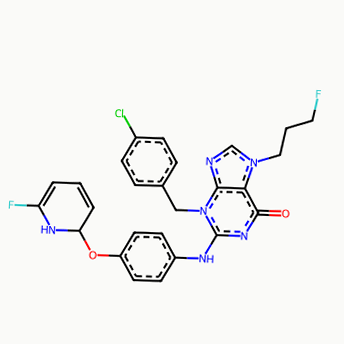 O=c1nc(Nc2ccc(OC3C=CC=C(F)N3)cc2)n(Cc2ccc(Cl)cc2)c2ncn(CCCF)c12